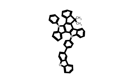 CC1(C)c2ccccc2-c2c1c1c3ccccc3n(-c3ccc(-c4ccc5oc6ccccc6c5c4)cc3)c1c1c3ccccc3n(-c3ccccc3)c21